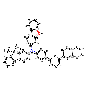 CC1(C)c2ccccc2-c2ccc(N(c3ccc(C4C=CC=C(C5C=C6CCC=CC6=CC5)C4)cc3)c3ccc4c(c3)oc3ccccc34)cc21